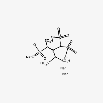 O=S(=O)([O-])C(N(C(S(=O)(=O)[O-])S(=O)(=O)O)C(S(=O)(=O)O)S(=O)(=O)O)S(=O)(=O)[O-].[Na+].[Na+].[Na+]